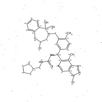 CCC1CN(Cc2cc([C@H](CC(=O)NCC3CCCO3)c3ccc4c(nnn4CC)c3C)ccc2C)S(O)(O)c2cccnc2O1